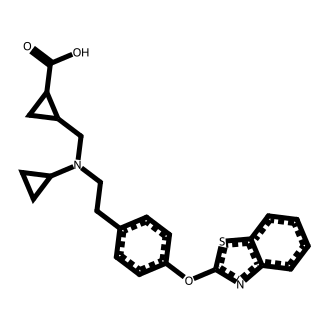 O=C(O)C1CC1CN(CCc1ccc(Oc2nc3ccccc3s2)cc1)C1CC1